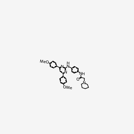 COc1ccc(-c2cc(-c3ccc(OC)cc3)nc(Nc3ccc(NC(=O)CN4CCCCC4)cc3)n2)cc1